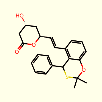 CC1(C)Oc2cccc(/C=C/[C@@H]3C[C@@H](O)CC(=O)O3)c2C(c2ccccc2)S1